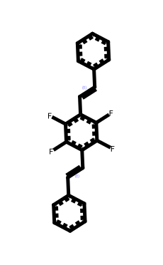 Fc1c(F)c(/C=C/c2ccccc2)c(F)c(F)c1/C=C/c1ccccc1